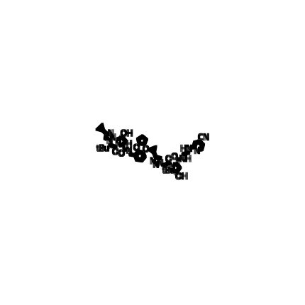 CC(C)(C)[C@@H](C(=O)N1C[C@H](O)C[C@H]1C(=O)NCc1cccc(OC2CC2c2cn([C@H](C(=O)N3C[C@H](O)C[C@H]3C(=O)NCCNc3cc(C#N)ccn3)C(C)(C)C)nn2)c1OC1CCCC1)n1cc(C2CC2)nn1